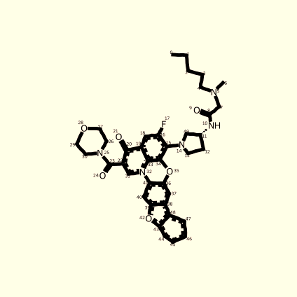 CCCCCN(C)CC(=O)N[C@@H]1CCN(c2c(F)cc3c(=O)c(C(=O)N4CCOCC4)cn4c3c2Oc2cc3c(cc2-4)oc2ccccc23)C1